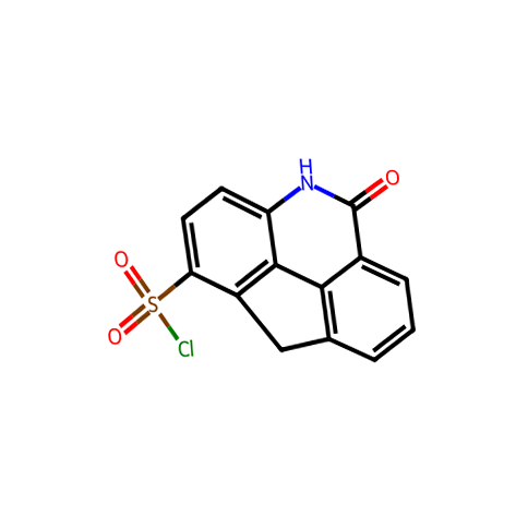 O=c1[nH]c2ccc(S(=O)(=O)Cl)c3c2c2c(cccc12)C3